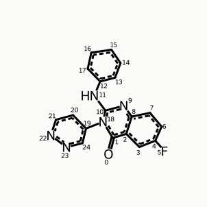 O=c1c2cc(F)ccc2nc(Nc2ccccc2)n1-c1ccnnc1